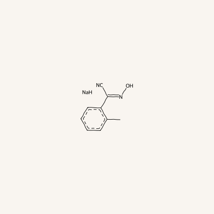 Cc1ccccc1C(C#N)=NO.[NaH]